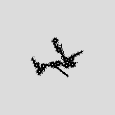 C#CC#CC#CC#CC1(C)c2cc(CCc3ccc4c(c3)Oc3cc(C)ccc3N4c3ccc(CCCC)cc3)ccc2-c2ccc(CCc3ccc4c(c3)C(c3ccc(OCCCCCC)cc3)(c3ccc(OCCOc5ccc(CNCc6ccccc6)cc5)cc3)c3cc(C)ccc3-4)cc21